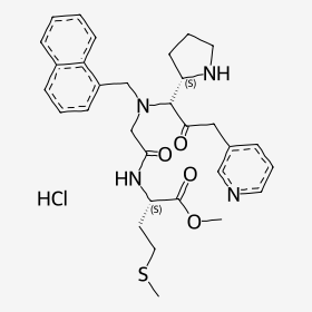 COC(=O)[C@H](CCSC)NC(=O)CN(Cc1cccc2ccccc12)C(C(=O)Cc1cccnc1)[C@@H]1CCCN1.Cl